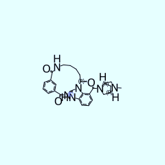 C[C@@H]1CCCCNC(=O)c2cccc(c2)C(=O)/N=C2\Nc3cccc(C(=O)N4C[C@H]5C[C@@H]4CN5C)c3N21